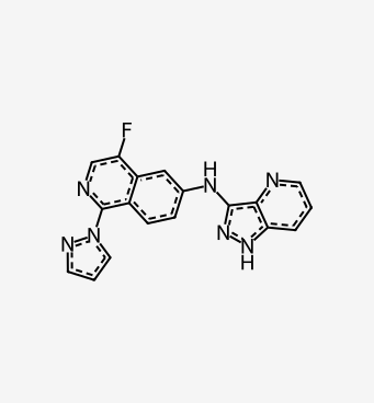 Fc1cnc(-n2cccn2)c2ccc(Nc3n[nH]c4cccnc34)cc12